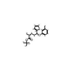 Cc1cccc(OC(CCN(C)C(=O)OC(C)(C)C)c2cccs2)c1